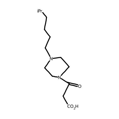 CC(C)CCCCN1CCN(C(=O)CC(=O)O)CC1